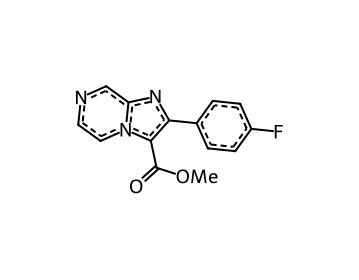 COC(=O)c1c(-c2ccc(F)cc2)nc2cnccn12